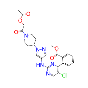 COC(=O)c1ccccc1-c1nc(Nc2cnn(C3CCN(C(=O)COC(C)=O)CC3)c2)ncc1Cl